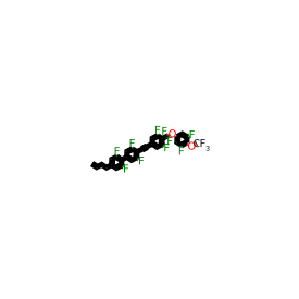 C=CCCc1cc(F)c(-c2cc(F)c(C#Cc3cc(F)c(C(F)(F)Oc4cc(F)c(OC(F)(F)F)c(F)c4)c(F)c3)c(F)c2)c(F)c1